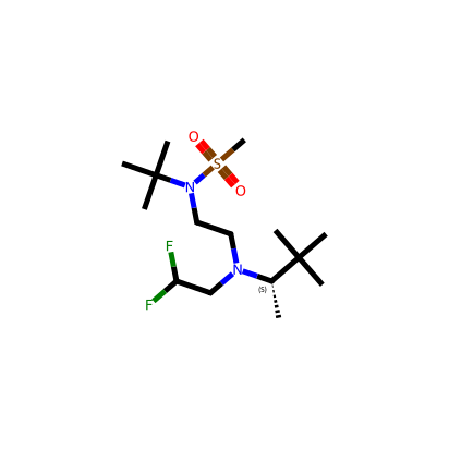 C[C@H](N(CCN(C(C)(C)C)S(C)(=O)=O)CC(F)F)C(C)(C)C